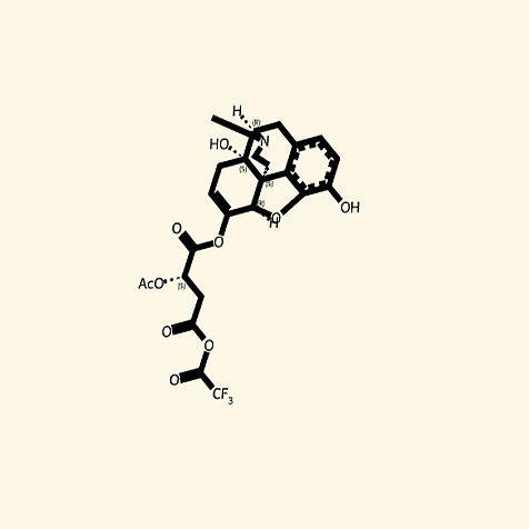 CC(=O)O[C@@H](CC(=O)OC(=O)C(F)(F)F)C(=O)OC1=CC[C@@]2(O)[C@H]3Cc4ccc(O)c5c4[C@@]2(CCN3C)[C@H]1O5